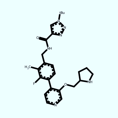 Cc1c(CNC(=O)c2cn(C(C)(C)C)nn2)ccc(-c2ccncc2OCC2CCCN2)c1F